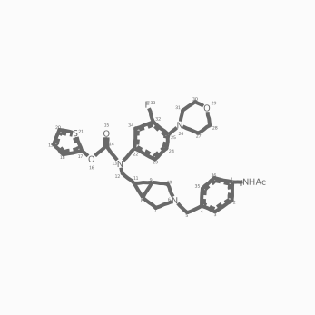 CC(=O)Nc1ccc(CN2CC3C(C2)C3CN(C(=O)Oc2cccs2)c2ccc(N3CCOCC3)c(F)c2)cc1